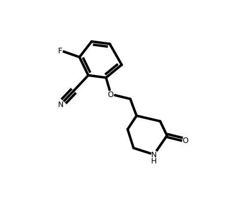 N#Cc1c(F)cccc1OCC1CCNC(=O)C1